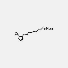 CCCCCCCCCCCCCCCCCCC1=[C]([Zr])CC=C1